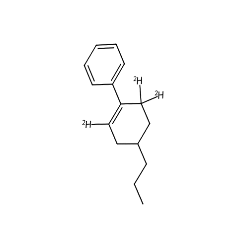 [2H]C1=C(c2ccccc2)C([2H])([2H])CC(CCC)C1